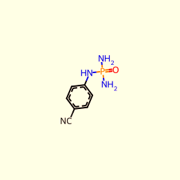 N#Cc1ccc(NP(N)(N)=O)cc1